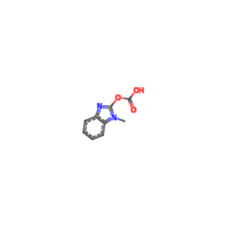 Cn1c(OC(=O)O)nc2ccccc21